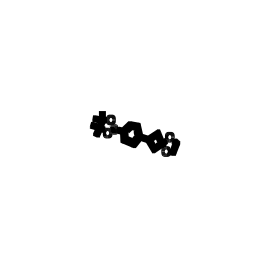 CC1(C)OB(c2ccc(C3CC4(C3)OCCO4)cc2)OC1(C)C